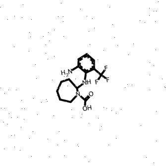 Nc1cccc(C(F)(F)F)c1NC1CCCCCN1C(=O)O